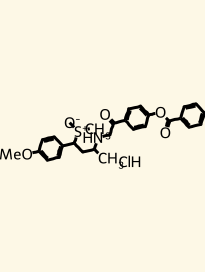 COc1ccc(C(CC(C)NCC(=O)c2ccc(OC(=O)c3ccccc3)cc2)[S+](C)[O-])cc1.Cl